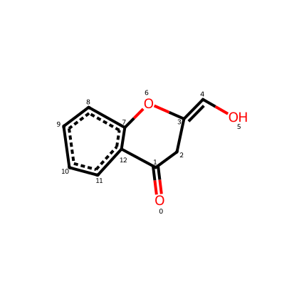 O=C1CC(=CO)Oc2ccccc21